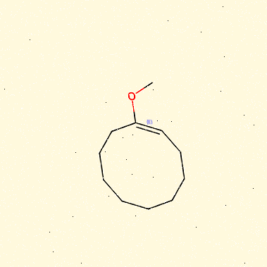 CO/C1=C/CCCCCCCC1